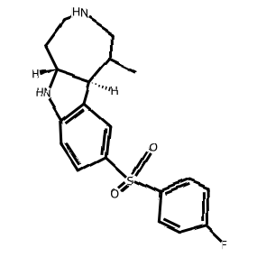 CC1CNCC[C@H]2Nc3ccc(S(=O)(=O)c4ccc(F)cc4)cc3[C@H]12